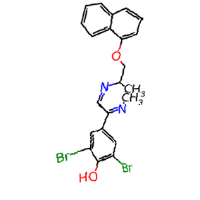 C/N=C(\C=N/C(C)COc1cccc2ccccc12)c1cc(Br)c(O)c(Br)c1